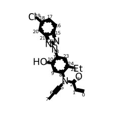 C=CC(=O)N(C#CC)c1cc(O)c(-n2n3c4ccc(Cl)cc4n23)cc1CC